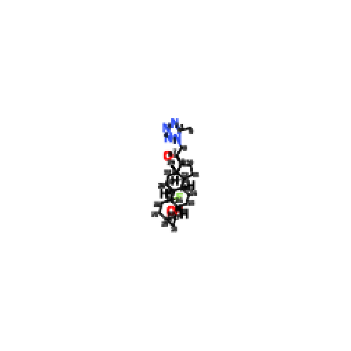 Cc1nnnn1CC(=O)[C@H]1CC[C@H]2[C@@H]3CC[C@@H]4C5C[C@@]5(O)CC[C@]4(F)[C@H]3CC[C@]12C